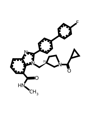 CNC(=O)c1cccc2nc(-c3ccc(-c4ccc(F)cc4)cc3)n(C[C@H]3CCN(C(=O)C4CC4)C3)c12